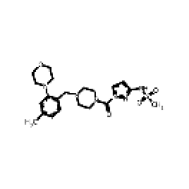 Cc1ccc(CN2CCN(C(=O)n3ccc(NS(C)(=O)=O)n3)CC2)c(N2CCOCC2)c1